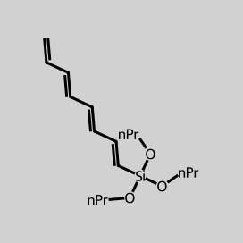 C=CC=CC=CC=C[Si](OCCC)(OCCC)OCCC